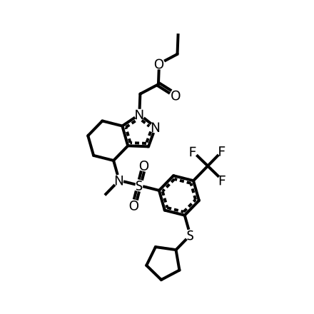 CCOC(=O)Cn1ncc2c1CCCC2N(C)S(=O)(=O)c1cc(SC2CCCC2)cc(C(F)(F)F)c1